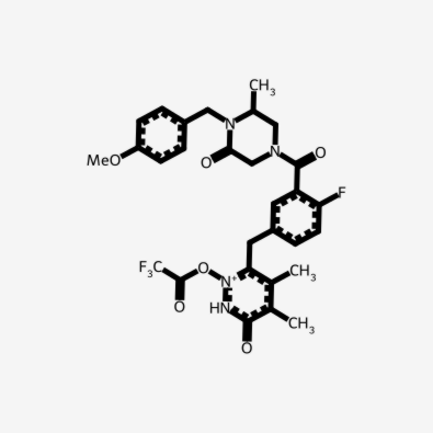 COc1ccc(CN2C(=O)CN(C(=O)c3cc(Cc4c(C)c(C)c(=O)[nH][n+]4OC(=O)C(F)(F)F)ccc3F)CC2C)cc1